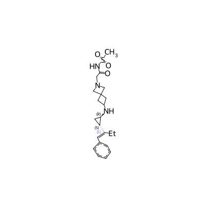 CC/C(=C\c1ccccc1)[C@@H]1C[C@H]1NC1CC2(C1)CN(CC(=O)NS(C)(=O)=O)C2